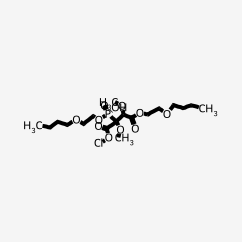 CCCCOCCOC(=O)C(OC)C(OC)(C(=O)OCl)P(=O)(O)OCCOCCCC